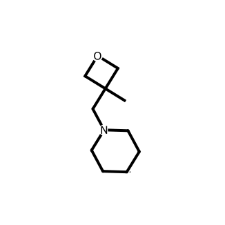 CC1(CN2CC[CH]CC2)COC1